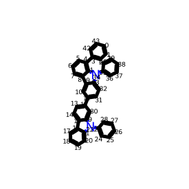 c1ccc(-c2cccc3c4cc(-c5ccc6c7ccccc7n(-c7ccccc7)c6c5)ccc4n(-c4ccccc4)c23)cc1